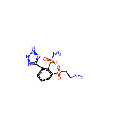 NCCS(=O)(=O)c1cccc(-c2nn[nH]n2)c1S(N)(=O)=O